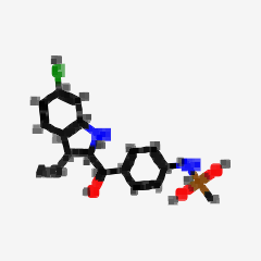 CC(=O)Oc1c(C(=O)c2ccc(NS(C)(=O)=O)cc2)[nH]c2cc(Cl)ccc12